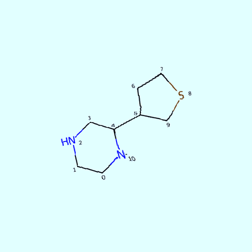 C1CNCC(C2CCSC2)[N]1